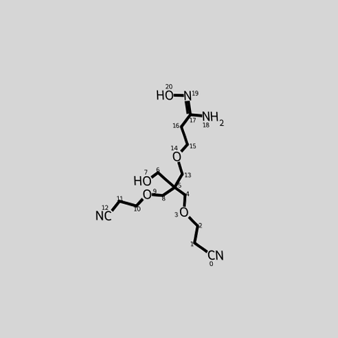 N#CCCOCC(CO)(COCCC#N)COCC/C(N)=N\O